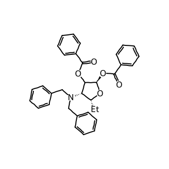 CC[C@H]1O[C@H](OC(=O)c2ccccc2)C(OC(=O)c2ccccc2)[C@H]1N(Cc1ccccc1)Cc1ccccc1